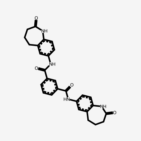 O=C1CCCc2cc(NC(=O)c3cccc(C(=O)Nc4ccc5c(c4)CCCC(=O)N5)c3)ccc2N1